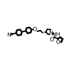 N#Cc1ccc(-c2ccc(OCCC[C@@H]3CCN(NC(=O)c4ccco4)C3)cc2)cc1